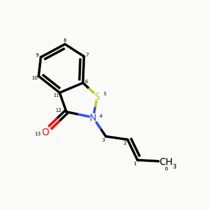 CC=CCn1sc2ccccc2c1=O